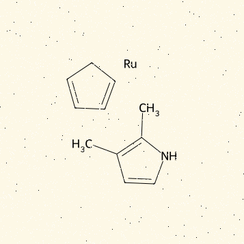 C1=CCC=C1.Cc1cc[nH]c1C.[Ru]